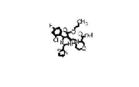 CCCOC(=O)C1=C(CN2CCOCC2C(=O)O)NC(c2nccs2)=NC1c1ccc(F)cc1Cl